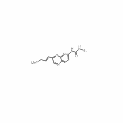 CCNC(=O)Nc1ccc2ncc(/C=C/COC)nc2n1